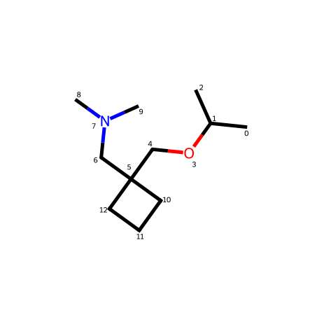 CC(C)OCC1(CN(C)C)CCC1